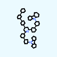 c1ccc(-c2cccc(-c3ccc(-c4cc(-c5cccc(-c6cccc(-n7c8ccccc8c8ccccc87)c6)c5)nc(-c5cccc(-c6cccc(-n7c8ccccc8c8ccccc87)c6)c5)c4)cc3)c2)cc1